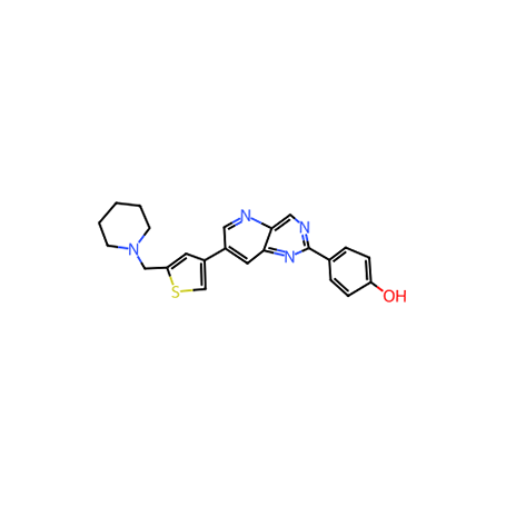 Oc1ccc(-c2ncc3ncc(-c4csc(CN5CCCCC5)c4)cc3n2)cc1